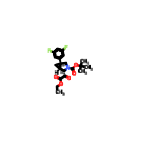 CCOC(=O)C(=O)[C@@H]1[C@H]2C[C@]2(c2cc(F)cc(F)c2)CN1C(=O)OC(C)(C)C